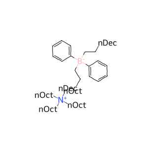 CCCCCCCCCCCC[B-](CCCCCCCCCCCC)(c1ccccc1)c1ccccc1.CCCCCCCC[N+](CCCCCCCC)(CCCCCCCC)CCCCCCCC